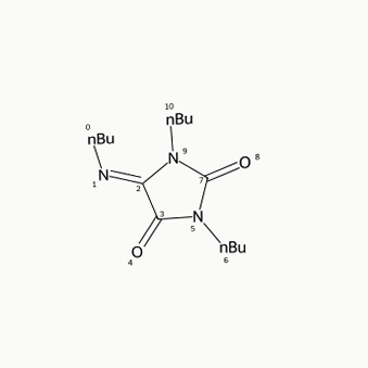 CCCCN=C1C(=O)N(CCCC)C(=O)N1CCCC